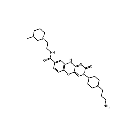 CC1CCCN(CCNC(=O)c2ccc3c(c2)Nc2nc(=O)n(C4CCN(CCCN)CC4)cc2O3)C1